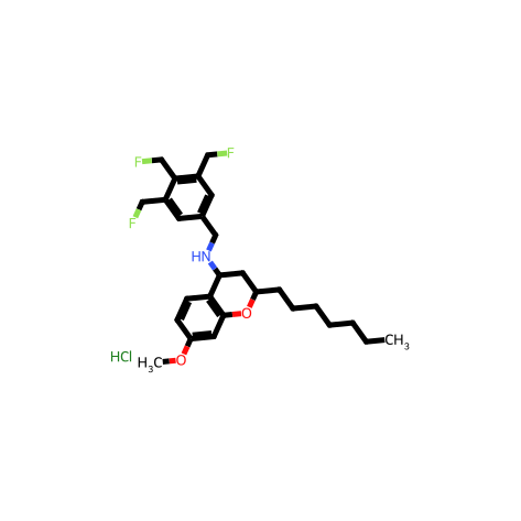 CCCCCCCC1CC(NCc2cc(CF)c(CF)c(CF)c2)c2ccc(OC)cc2O1.Cl